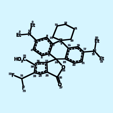 CCN(CC)c1ccc2c(c1)[Si]1(CCCCC1)c1cc(N(CC)CC)ccc1C21OC(=O)c2cc(C(F)F)c(C(=O)O)cc21